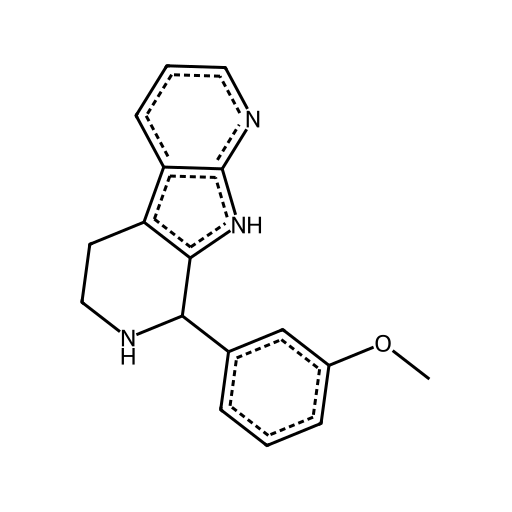 COc1cccc(C2NCCc3c2[nH]c2ncccc32)c1